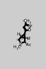 CC(=O)[C@@H]1[C@H]2C(c3cc(C)no3)[C@H]2CN1C